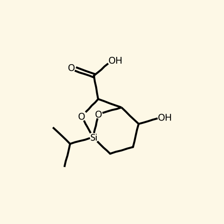 CC(C)[Si]12CCC(O)C(O1)C(C(=O)O)O2